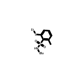 CCSc1cccc(C)c1S(=O)(=O)NC(C)(C)C